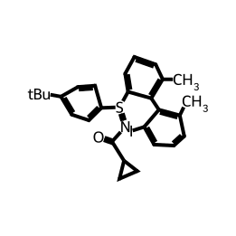 Cc1cccc(I)c1-c1c(C)cccc1S(=NC(=O)C1CC1)c1ccc(C(C)(C)C)cc1